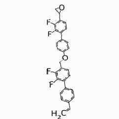 C=Cc1ccc(-c2ccc(COc3ccc(-c4ccc(C5CO5)c(F)c4F)cc3)c(F)c2F)cc1